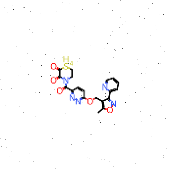 Cc1onc(-c2ccccn2)c1COc1ccc(C(=O)N2CC[SH4]C(=O)C2=O)nn1